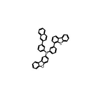 c1cc(-c2ccc3ccccc3c2)cc(N(c2cccc(-c3cccc4c3sc3ccccc34)c2)c2ccc3oc4ccccc4c3c2)c1